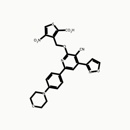 N#Cc1c(-c2ccon2)cc(-c2ccc(N3CCOCC3)cc2)nc1OCc1c([N+](=O)[O-])csc1C(=O)O